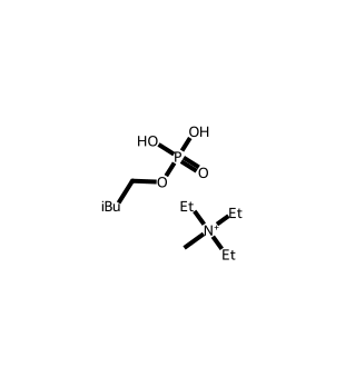 CCC(C)COP(=O)(O)O.CC[N+](C)(CC)CC